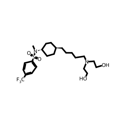 CN([C@H]1CC[C@H](CCCCCN(CCO)CCO)CC1)S(=O)(=O)c1ccc(C(F)(F)F)cc1